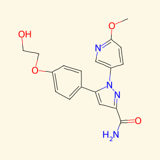 COc1ccc(-n2nc(C(N)=O)cc2-c2ccc(OCCO)cc2)cn1